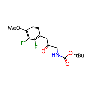 COc1ccc(CC(=O)CNC(=O)OC(C)(C)C)c(F)c1F